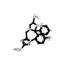 CC1CN2Cc3nc(C(=O)O)nn3-c3ccc(Br)cc3C2(c2ccccn2)O1